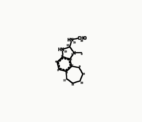 CN1c2c(ccc3c2CCCCC3)NC1NC=O